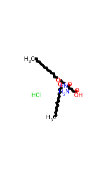 CCCCCCCCCCCCCCOCC(CNC(=O)[C@@H](N)CCC(=O)O)OCCCCCCCCCCCCCC.Cl